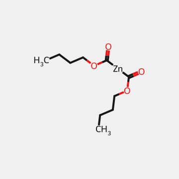 CCCCO[C](=O)[Zn][C](=O)OCCCC